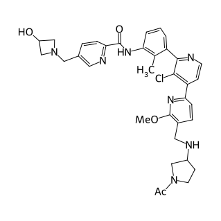 COc1nc(-c2ccnc(-c3cccc(NC(=O)c4ccc(CN5CC(O)C5)cn4)c3C)c2Cl)ccc1CNC1CCN(C(C)=O)C1